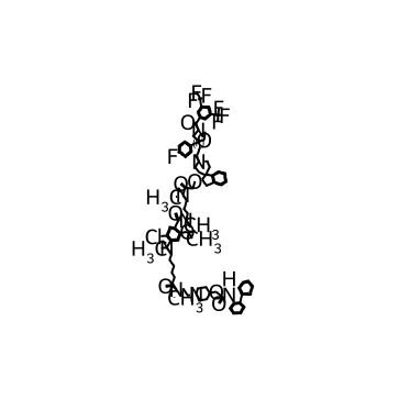 COc1cc(N(C)CCCCCC(=O)N(C)CCN2CCC(OC(=O)Nc3ccccc3-c3ccccc3)CC2)c(Cl)cc1C(=O)N(C)CCCN(C)C(=O)COC1Cc2ccccc2C12CCN(CC[C@@]1(c3ccc(F)cc3)CN(C(=O)c3cc(C(F)(F)F)cc(C(F)(F)F)c3)CO1)CC2